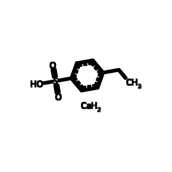 CCc1ccc(S(=O)(=O)O)cc1.[CaH2]